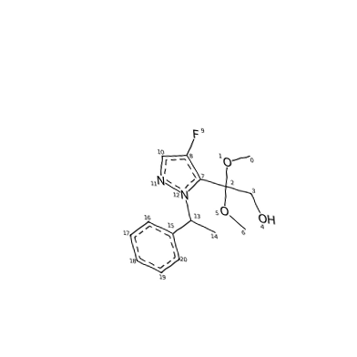 COC(CO)(OC)c1c(F)cnn1C(C)c1ccccc1